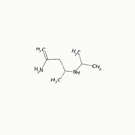 C=C(N)CC(C)BC(C)C